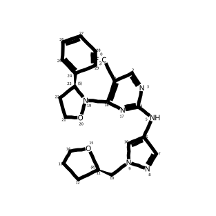 FC(F)(F)c1cnc(Nc2cnn(C[C@H]3CCCO3)c2)nc1N1OCC[C@H]1c1ccccc1